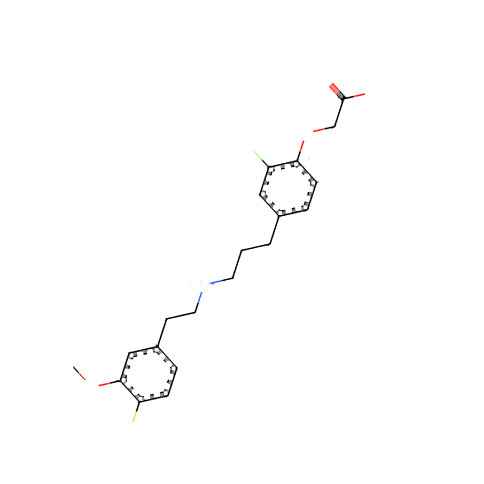 COc1cc(CCNCCCc2ccc(OCC(=O)O)c(F)c2)ccc1F